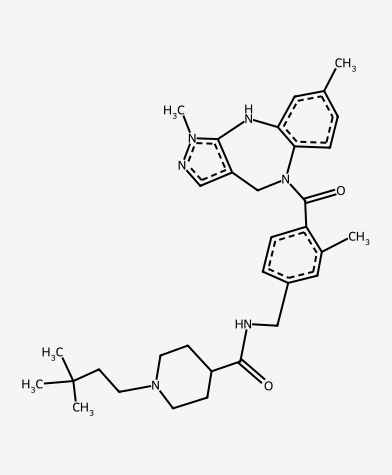 Cc1ccc2c(c1)Nc1c(cnn1C)CN2C(=O)c1ccc(CNC(=O)C2CCN(CCC(C)(C)C)CC2)cc1C